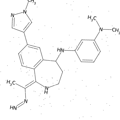 C/C(N=N)=C1/NCCC(Nc2cccc(N(C)C)c2)c2cc(-c3cnn(C)c3)ccc21